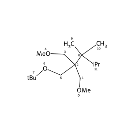 COCC(COC)(COC(C)(C)C)C(C)(C)C(C)C